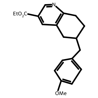 CCOC(=O)c1cnc2c(c1)CC(Cc1ccc(OC)cc1)CC2